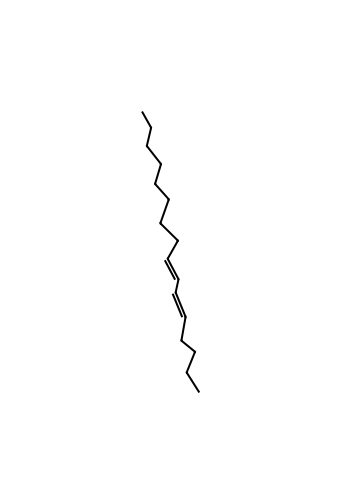 CCCCC=CC=CCCCCCCCC